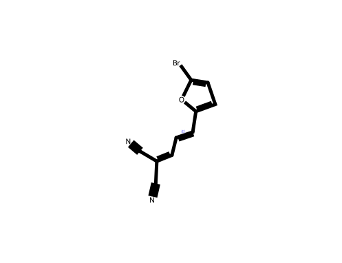 N#CC(C#N)=C/C=C/c1ccc(Br)o1